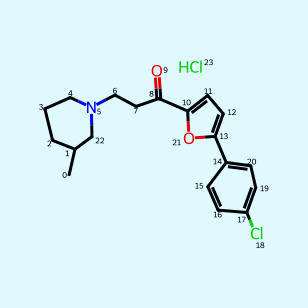 CC1CCCN(CCC(=O)c2ccc(-c3ccc(Cl)cc3)o2)C1.Cl